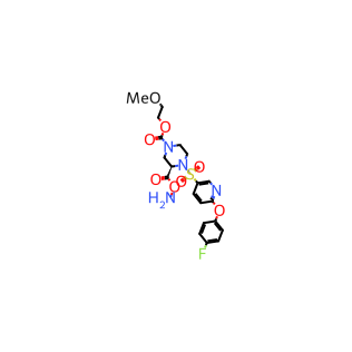 COCCOC(=O)N1CCN(S(=O)(=O)c2ccc(Oc3ccc(F)cc3)nc2)[C@@H](C(=O)ON)C1